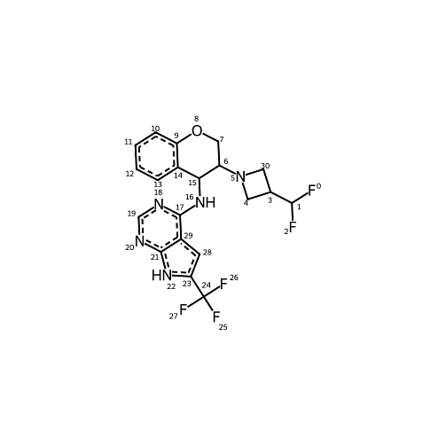 FC(F)C1CN(C2COc3ccccc3C2Nc2ncnc3[nH]c(C(F)(F)F)cc23)C1